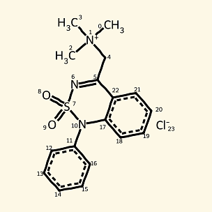 C[N+](C)(C)CC1=NS(=O)(=O)N(c2ccccc2)c2ccccc21.[Cl-]